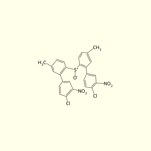 Cc1ccc([S+]([O-])c2ccc(C)cc2-c2ccc(Cl)c([N+](=O)[O-])c2)c(-c2ccc(Cl)c([N+](=O)[O-])c2)c1